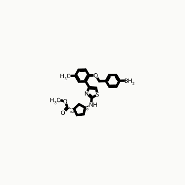 Bc1ccc(COc2ccc(C)cc2-c2csc(N[C@@H]3CC[C@H](C(=O)OC)C3)n2)cc1